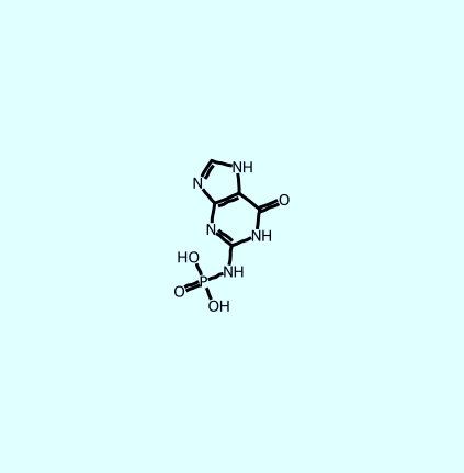 O=c1[nH]c(NP(=O)(O)O)nc2nc[nH]c12